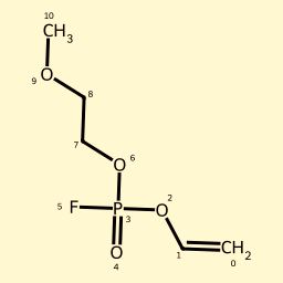 C=COP(=O)(F)OCCOC